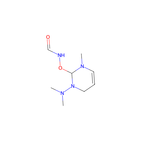 CN1C=CCN(N(C)C)C1ONC=O